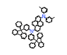 Cc1cccc(N(c2cccc(C)c2)c2ccc3ccc4c(N(c5cccc(C6(c7ccccc7)c7ccccc7-c7ccccc76)c5)c5cccc(C6(c7ccccc7)c7ccccc7-c7ccccc76)c5)ccc5ccc2c3c54)c1